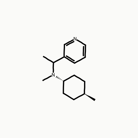 CC(c1cccnc1)N(C)[C@H]1CC[C@H](C)CC1